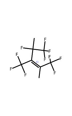 C/C(=C(\C(F)(F)F)C(C)(F)C(F)(F)F)C(F)(F)F